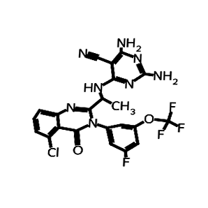 CC(Nc1nc(N)nc(N)c1C#N)c1nc2cccc(Cl)c2c(=O)n1-c1cc(F)cc(OC(F)(F)F)c1